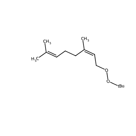 CC(C)=CCCC(C)=CCOOC(C)(C)C